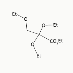 CCOCC(OCC)(OCC)C(=O)OCC